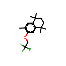 Cc1cc2c(cc1OCC(F)(F)F)C(C)(C)CCC2(C)C